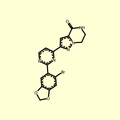 O=C1NCCn2nc(-c3ccnc(-c4cc5c(cc4Br)OCO5)n3)cc21